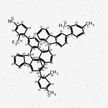 Cc1ccc(-c2ccc3c(c2)c2ccccc2n3-c2ccc(C#N)cc2-c2ccc(-c3ccc(C#N)cc3C(F)(F)F)cc2-n2c3ccccc3c3cc(-c4ccc(C)cc4C)ccc32)c(C)c1